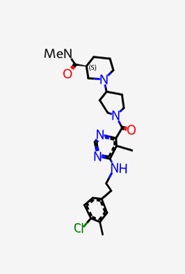 CNC(=O)[C@H]1CCCN(C2CCN(C(=O)c3ncnc(NCCc4ccc(Cl)c(C)c4)c3C)CC2)C1